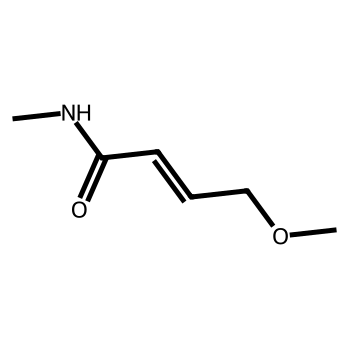 CNC(=O)C=CCOC